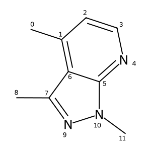 Cc1ccnc2c1c(C)nn2C